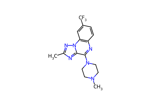 Cc1nc2c(N3CCN(C)CC3)nc3ccc(C(F)(F)F)cc3n2n1